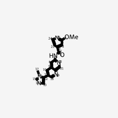 COc1cc(C(=O)Nc2cc3cc(-c4cncn4C)cnc3cn2)ccn1